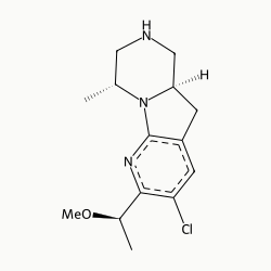 CO[C@H](C)c1nc2c(cc1Cl)C[C@@H]1CNC[C@@H](C)N21